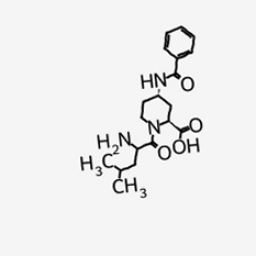 CC(C)CC(N)C(=O)N1CC[C@H](NC(=O)c2ccccc2)C[C@H]1C(=O)O